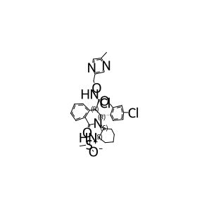 Cc1cnc(CONC(=O)[C@@H]2c3ccccc3C(=O)N([C@H]3CCCC[C@@H]3N[S+](C)[O-])[C@H]2c2ccc(Cl)cc2Cl)cn1